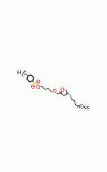 CCCCCCCCCCCCCC[C@H]1CO[C@H](COCCCCOS(=O)(=O)c2ccc(C)cc2)C1